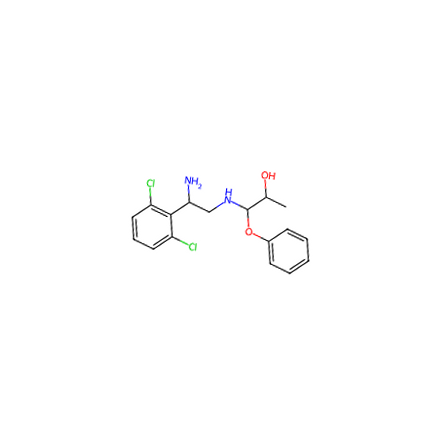 CC(O)C(NCC(N)c1c(Cl)cccc1Cl)Oc1ccccc1